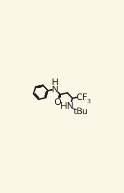 CC(C)(C)NC(CC(=O)Nc1ccccc1)C(F)(F)F